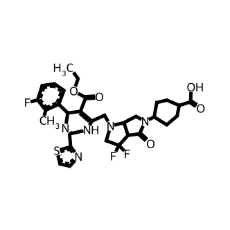 CCOC(=O)C1=C(CN2CC(F)(F)C3C(=O)N(C4CCC(C(=O)O)CC4)CC32)NC(c2nccs2)=NC1c1cccc(F)c1C